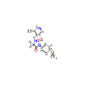 CCc1cnccc1CN1C(=O)N(c2ccc(OC(F)(F)F)cc2)C(=O)C12CC2